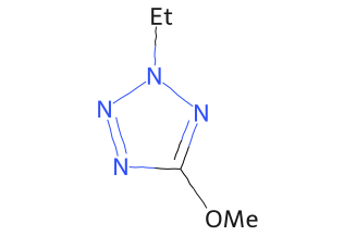 CCn1nnc(OC)n1